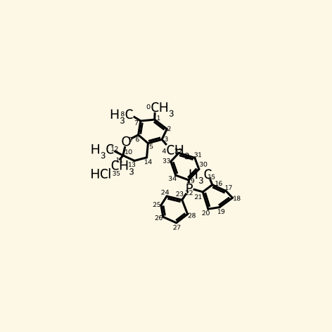 Cc1cc(C)c2c(c1C)OC(C)(C)CC2.Cc1ccccc1P(c1ccccc1)c1ccccc1.Cl